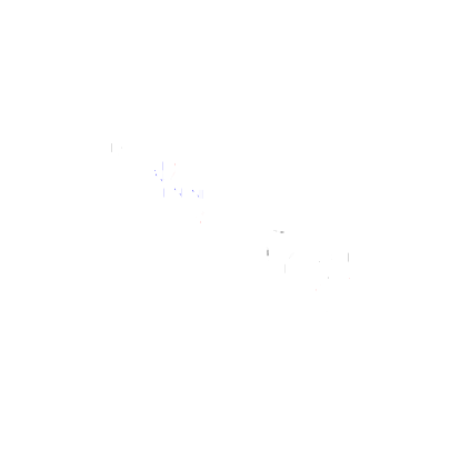 CCCNC(=O)NNC(=O)CCCCc1ccc(CC(C)(C)C(=O)OC)cc1